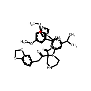 COc1cc(OC)cc(C(C)NC(=O)C2(C(=O)Cc3ccc4c(c3)OCO4)CNCCN2c2cc(C(C)C)nc(-n3ccnc3)n2)c1